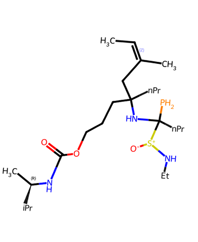 C/C=C(/C)CC(CCC)(CCCOC(=O)N[C@H](C)C(C)C)NC(P)(CCC)[S+]([O-])NCC